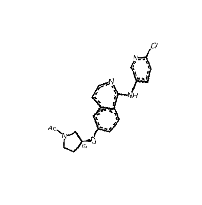 CC(=O)N1CC[C@H](Oc2ccc3c(Nc4ccc(Cl)nc4)nccc3c2)C1